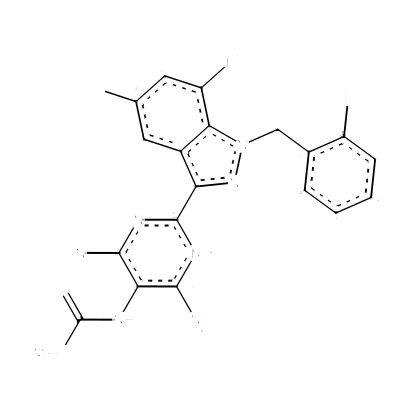 COC(=O)Nc1c(N)nc(-c2nn(Cc3ccccc3F)c3c(F)cc(F)cc23)nc1N